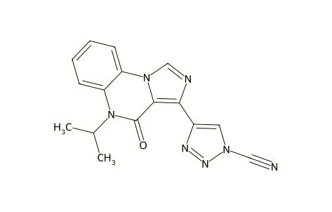 CC(C)n1c(=O)c2c(-c3cn(C#N)nn3)ncn2c2ccccc21